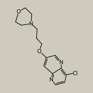 Clc1ccnc2cc(OCCCN3CCOCC3)cnc12